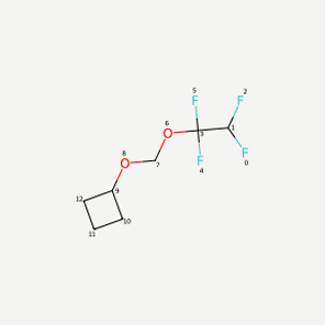 FC(F)C(F)(F)OCOC1CCC1